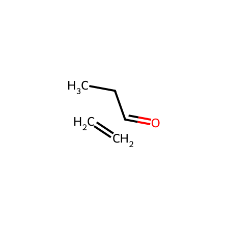 C=C.CCC=O